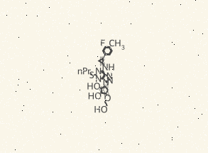 CCCSc1nc(N[C@@H]2C[C@H]2c2ccc(C)c(F)c2)c2nnn([C@@H]3C[C@H](OCCO)[C@@H](O)[C@H]3O)c2n1